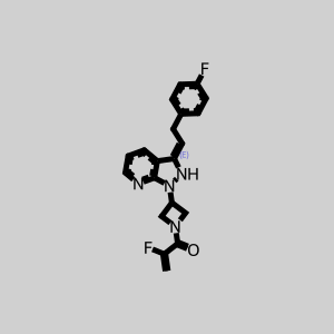 C=C(F)C(=O)N1CC(N2N/C(=C/Cc3ccc(F)cc3)c3cccnc32)C1